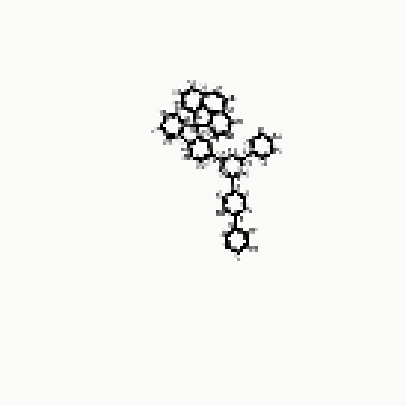 c1ccc(-c2ccc(-c3nc(-c4ccccc4)nc(-c4ccc5c(c4)C4(c6ccccc6-5)c5cccc6ccc7cccc4c7c56)n3)cc2)cc1